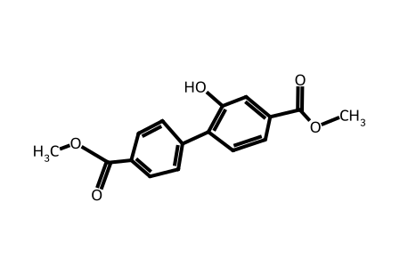 COC(=O)c1ccc(-c2ccc(C(=O)OC)cc2O)cc1